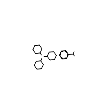 C1CCC(P(C2CCCCC2)C2CCCCC2)CC1.ClC(Cl)c1ccccc1.[Ru]